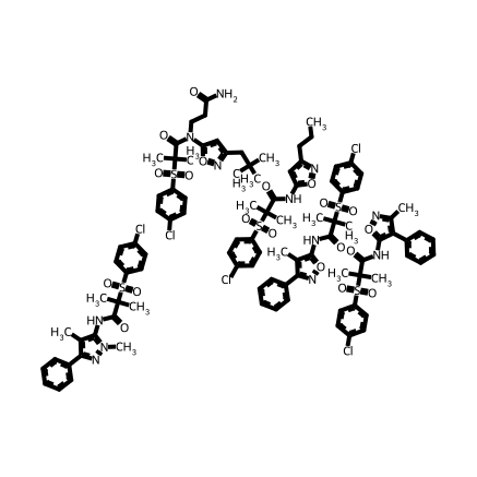 CC(C)(C)Cc1cc(N(CCC(N)=O)C(=O)C(C)(C)S(=O)(=O)c2ccc(Cl)cc2)on1.CCCc1cc(NC(=O)C(C)(C)S(=O)(=O)c2ccc(Cl)cc2)on1.Cc1c(-c2ccccc2)nn(C)c1NC(=O)C(C)(C)S(=O)(=O)c1ccc(Cl)cc1.Cc1c(-c2ccccc2)noc1NC(=O)C(C)(C)S(=O)(=O)c1ccc(Cl)cc1.Cc1noc(NC(=O)C(C)(C)S(=O)(=O)c2ccc(Cl)cc2)c1-c1ccccc1